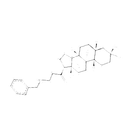 C[C@@]1(O)CC[C@H]2[C@H](CC[C@@H]3[C@@H]2CC[C@]2(C)[C@@H](C(=O)CCNCc4ccccc4)CC[C@@H]32)C1